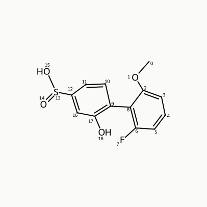 COc1cccc(F)c1-c1ccc(S(=O)O)cc1O